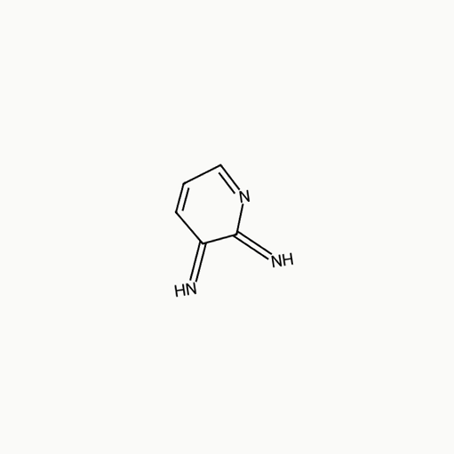 N=C1C=CC=NC1=N